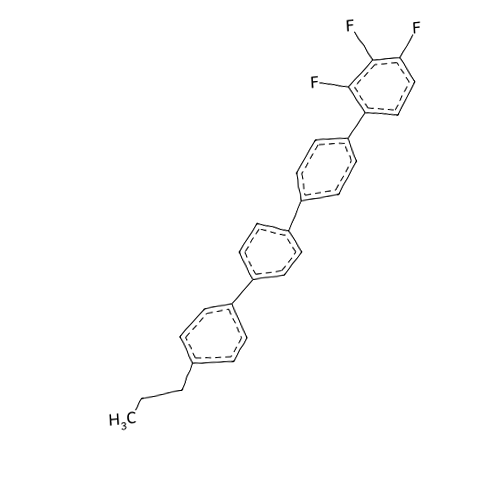 CCCc1ccc(-c2ccc(-c3ccc(-c4ccc(F)c(F)c4F)cc3)cc2)cc1